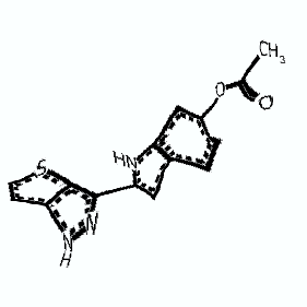 CC(=O)Oc1ccc2cc(-c3n[nH]c4ccsc34)[nH]c2c1